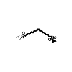 NC(=O)CCCCCCC/C=C\CCCCCCCCS(=O)(=O)C1CC1